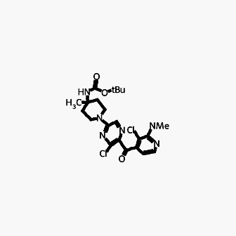 CNc1nccc(C(=O)c2ncc(N3CCC(C)(NC(=O)OC(C)(C)C)CC3)nc2Cl)c1Cl